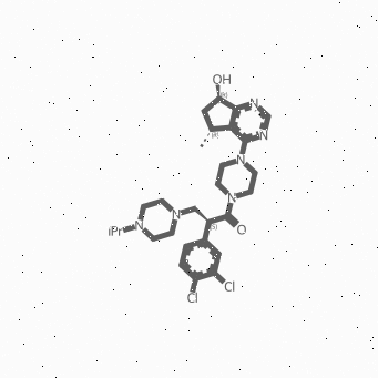 CC(C)N1CCN(C[C@@H](C(=O)N2CCN(c3ncnc4c3[C@H](C)C[C@H]4O)CC2)c2ccc(Cl)c(Cl)c2)CC1